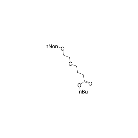 CCCCCCCCCOCCOCCCC(=O)OCCCC